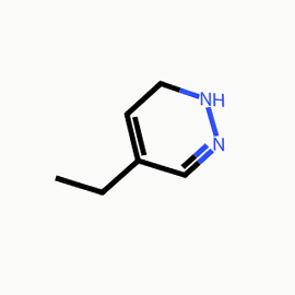 CCC1=CCNN=C1